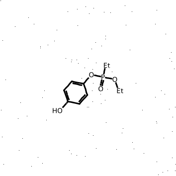 CCOP(=O)(CC)Oc1ccc(O)cc1